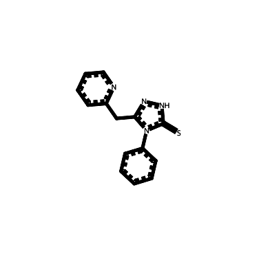 S=c1[nH]nc(Cc2ccccn2)n1-c1ccccc1